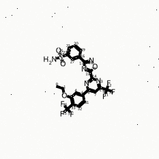 CCOc1cc(-c2cc(C(F)(F)F)nc(-c3nc(-c4cccc(S(N)(=O)=O)c4)no3)n2)ccc1C(F)(F)F